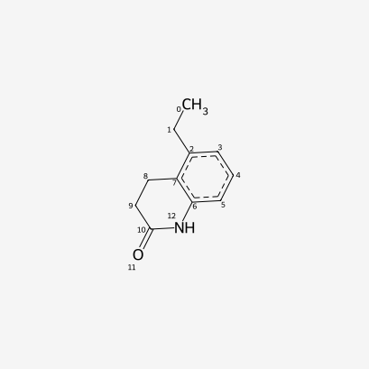 CCc1cccc2c1CCC(=O)N2